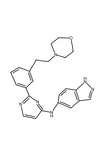 c1cc(CCN2CCOCC2)cc(-c2nccc(Nc3ccc4[nH]ncc4c3)n2)c1